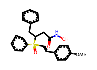 COc1ccc(C=C[SH](=O)(c2ccccc2)C(CC(=O)NO)Cc2ccccc2)cc1